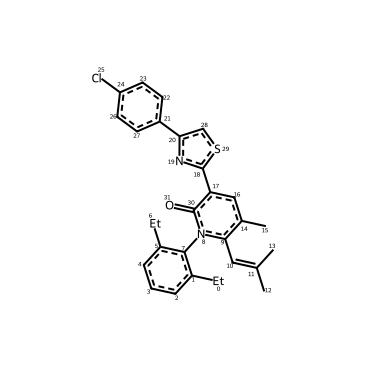 CCc1cccc(CC)c1-n1c(C=C(C)C)c(C)cc(-c2nc(-c3ccc(Cl)cc3)cs2)c1=O